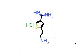 Cl.N=C(N)c1csc(CCN)c1